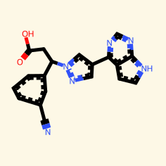 N#Cc1cccc(C(CC(=O)O)n2cc(-c3ncnc4[nH]ccc34)cn2)c1